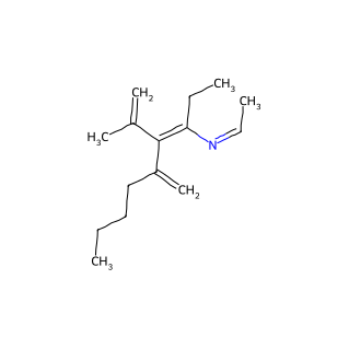 C=C(C)/C(C(=C)CCCC)=C(CC)/N=C\C